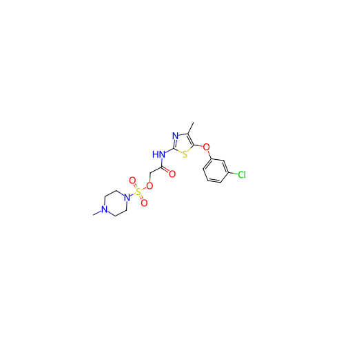 Cc1nc(NC(=O)COS(=O)(=O)N2CCN(C)CC2)sc1Oc1cccc(Cl)c1